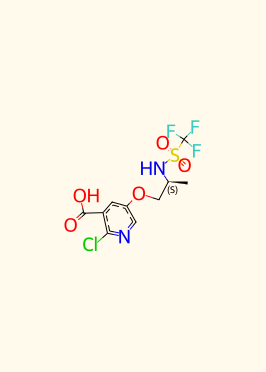 C[C@@H](COc1cnc(Cl)c(C(=O)O)c1)NS(=O)(=O)C(F)(F)F